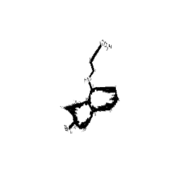 O=C(O)CCNc1cccc2cc(Br)ccc12